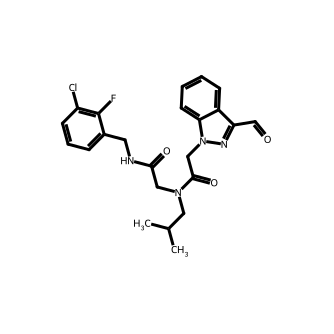 CC(C)CN(CC(=O)NCc1cccc(Cl)c1F)C(=O)Cn1nc(C=O)c2ccccc21